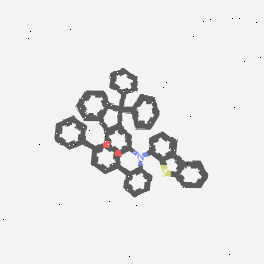 c1ccc(-c2ccc(-c3ccccc3N(c3ccc4c(c3)C(c3ccccc3)(c3ccccc3)c3ccccc3-4)c3cccc4c3sc3ccccc34)cc2)cc1